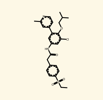 CCS(=O)(=O)c1ccc(CC(=O)Nc2cc(Cl)c(OCC(C)C)c(-c3ccnc(C)c3)c2)cc1